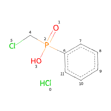 Cl.O=P(O)(CCl)c1ccccc1